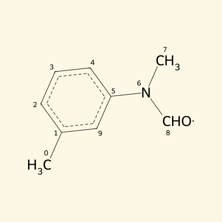 Cc1cccc(N(C)[C]=O)c1